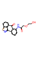 O=C(COCCO)Nc1cccc2c1C(=O)c1cccc3snc-2c13